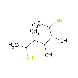 CC(S)C(C)C(C)C(C)C(C)S